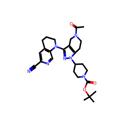 CC(=O)N1CCc2c(c(N3CCCc4cc(C#N)ncc43)nn2C2CCN(C(=O)OC(C)(C)C)CC2)C1